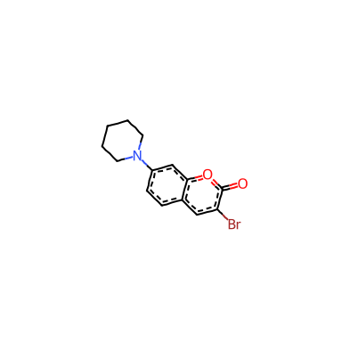 O=c1oc2cc(N3CCCCC3)ccc2cc1Br